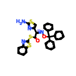 Nc1nc(/C(=N/OC(c2ccccc2)(c2ccccc2)c2ccccc2)C(=O)Sc2nc3ccccc3s2)cs1